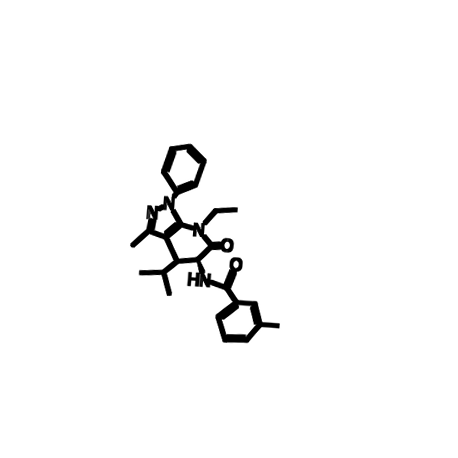 CCN1C(=O)[C@@H](NC(=O)c2cccc(C)c2)C(C(C)C)c2c(C)nn(-c3ccccc3)c21